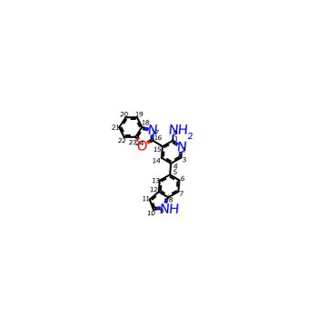 Nc1ncc(-c2ccc3[nH]ccc3c2)cc1-c1nc2ccccc2o1